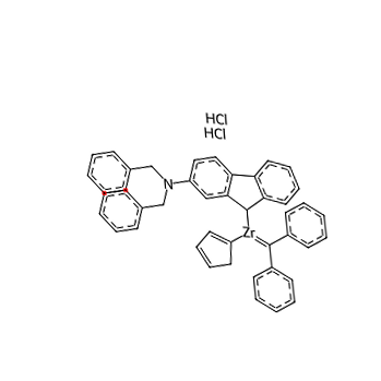 C1=CC[C]([Zr](=[C](c2ccccc2)c2ccccc2)[CH]2c3ccccc3-c3ccc(N(Cc4ccccc4)Cc4ccccc4)cc32)=C1.Cl.Cl